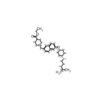 CCOC(=O)C1CCN(Cc2ccc3cc(O[C@H]4CC[C@@H](CCCCC(C)C)CC4)ccc3c2)CC1